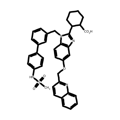 CS(=O)(=O)Nc1ccc(-c2cccc(Cn3c(C4CCCCC4C(=O)O)nc4cc(OCc5ccc6ccccc6n5)ccc43)c2)cc1